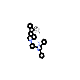 CC1(C)c2ccccc2-c2cc3c4c(cccc4c21)N(c1cccc(C2N=C(c4ccccc4)C=C(c4ccccc4)N2)c1)C=C3